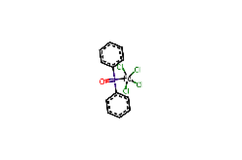 O=[I](c1ccccc1)(c1ccccc1)[Fe]([Cl])([Cl])([Cl])[Cl]